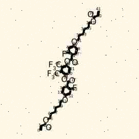 C=CC(=O)OCCCCCCOc1ccc(C(=O)Oc2ccc(OC(=O)c3ccc(OCCCCCCOC(=O)C=C)cc3F)c(C(F)(F)F)c2C(F)(F)F)c(F)c1